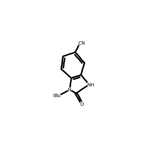 CC(C)(C)n1c(=O)[nH]c2cc(C#N)ccc21